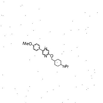 CCCC1CCC(COc2cnc(-c3ccc(OC)cc3)cn2)CC1